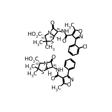 Cc1onc(-c2ccccc2)c1C(=O)N[C@@H]1C(=O)N2[C@@H]1SC(C)(C)[C@@H]2C(=O)O.Cc1onc(-c2ccccc2Cl)c1C(=O)N[C@@H]1C(=O)N2[C@@H]1SC(C)(C)[C@@H]2C(=O)O